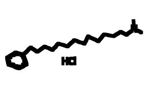 CN(C)CCCCCCCCCCCCCCc1ccccc1.Cl